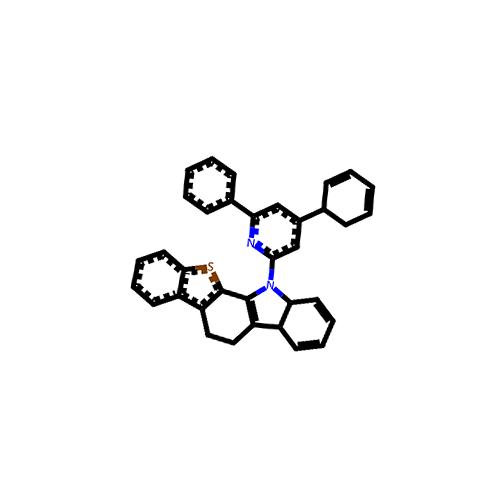 C1=CCC(c2cc(-c3ccccc3)nc(N3C4=C(CCc5c4sc4ccccc54)C4C=CC=CC43)c2)C=C1